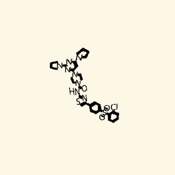 O=C(Nc1nc(-c2ccc(S(=O)(=O)c3ccccc3Cl)cc2)cs1)N1CCN(c2cc(N3CCCC3)nc(N3CCCC3)n2)CC1